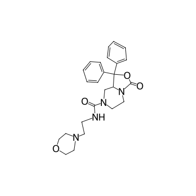 O=C(NCCN1CCOCC1)N1CCN2C(=O)OC(c3ccccc3)(c3ccccc3)C2C1